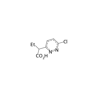 CCC(C(=O)O)c1ccc(Cl)nn1